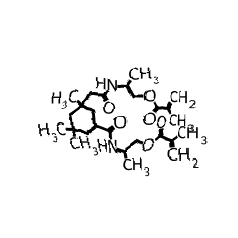 C=C(C)C(=O)OCC(C)NC(=O)CC1(C)CC(C(=O)NC(C)COC(=O)C(=C)C)CC(C)(C)C1